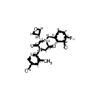 Cc1cc(Cl)cnc1N1CC(=O)N(Cc2ccc(F)c(Cl)c2)[C@@H](C2COC2)C1=O